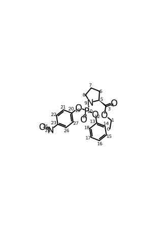 CCOC(=O)[C@@H]1CCCN1P(=O)(Oc1ccccc1)Oc1ccc(N=O)cc1